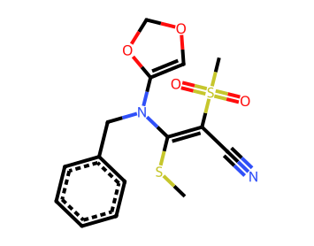 CSC(=C(C#N)S(C)(=O)=O)N(Cc1ccccc1)C1=COCO1